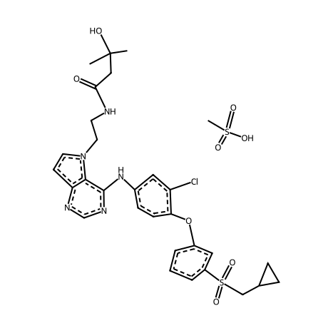 CC(C)(O)CC(=O)NCCn1ccc2ncnc(Nc3ccc(Oc4cccc(S(=O)(=O)CC5CC5)c4)c(Cl)c3)c21.CS(=O)(=O)O